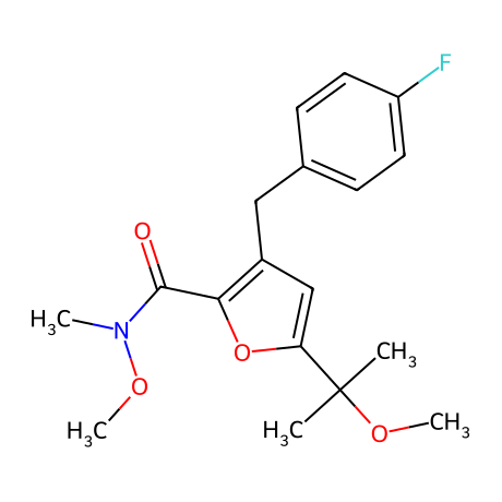 CON(C)C(=O)c1oc(C(C)(C)OC)cc1Cc1ccc(F)cc1